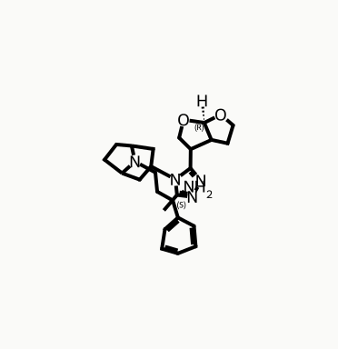 Cc1nnc(C2CO[C@H]3OCCC23)n1C1CC2CCC(C1)N2CC[C@H](N)c1ccccc1